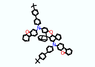 CC(C)(C)c1ccc(-c2ccc(N(c3ccc4c(c3)C3(c5cc(N(c6ccc(-c7ccc(C(C)(C)C)cc7)cc6)c6ccc7c(c6)oc6ccccc67)c6ccccc6c5O4)C4CC5CC(C4)CC3C5)c3ccc4c(c3)oc3ccccc34)cc2)cc1